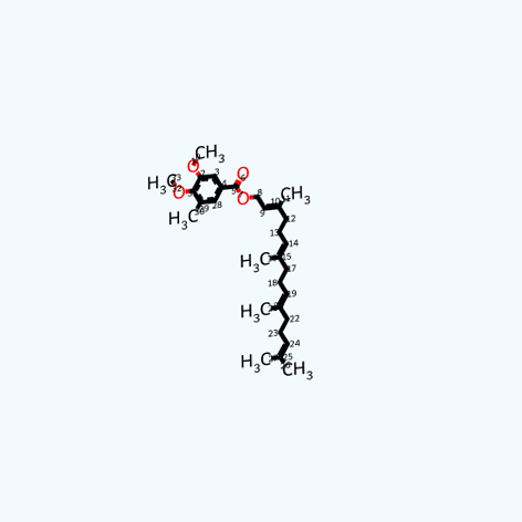 COc1cc(C(=O)OC/C=C(\C)CC/C=C(\C)CC/C=C(\C)CCC=C(C)C)cc(C)c1OC